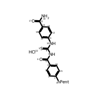 CCCCCc1ccc(C(=O)NC(=S)Nc2ccc(C(N)=O)cc2)cc1.Cl